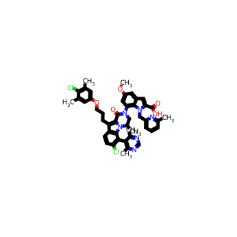 COc1cc(N2CC(C)n3c(c(CCCOc4cc(C)c(Cl)c(C)c4)c4ccc(Cl)c(-c5c(C)ncnc5C)c43)C2=O)c2c(c1)cc(C(=O)O)n2Cc1cccc(C)n1